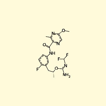 COc1cnc(C(=O)Nc2ccc(F)c(C[C@@H](C)O/C(N)=N\C(F)F)c2)c(C)n1